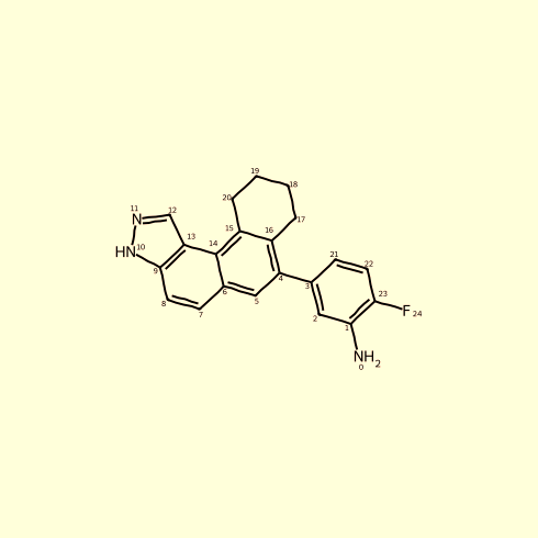 Nc1cc(-c2cc3ccc4[nH]ncc4c3c3c2CCCC3)ccc1F